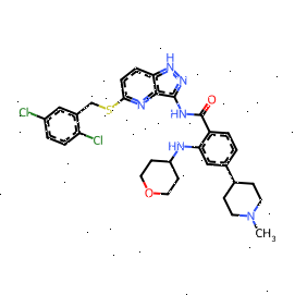 CN1CCC(c2ccc(C(=O)Nc3n[nH]c4ccc(SCc5cc(Cl)ccc5Cl)nc34)c(NC3CCOCC3)c2)CC1